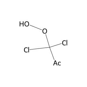 CC(=O)C(Cl)(Cl)OO